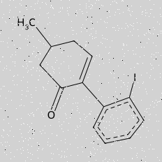 CC1CC=C(c2ccccc2I)C(=O)C1